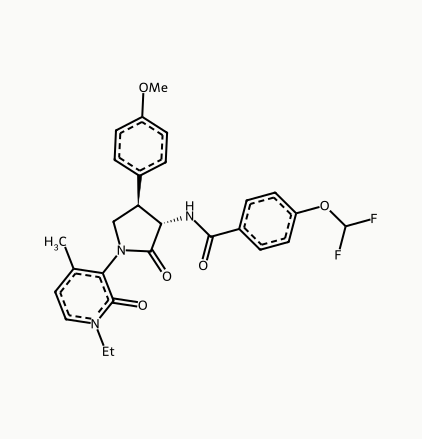 CCn1ccc(C)c(N2C[C@@H](c3ccc(OC)cc3)[C@H](NC(=O)c3ccc(OC(F)F)cc3)C2=O)c1=O